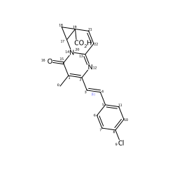 Cc1c(/C=C/c2ccc(Cl)cc2)nc2n(c1=O)C1CC1(C(=O)O)C=C2